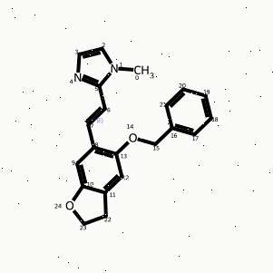 Cn1ccnc1/C=C/c1cc2c(cc1OCc1ccccc1)CCO2